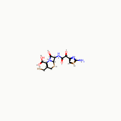 Nc1nc(C(=O)C(=O)NC2C(=O)N3C(C(=O)O)=C(CS)CSC23)cs1